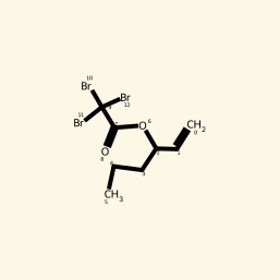 C=CC(CCC)OC(=O)C(Br)(Br)Br